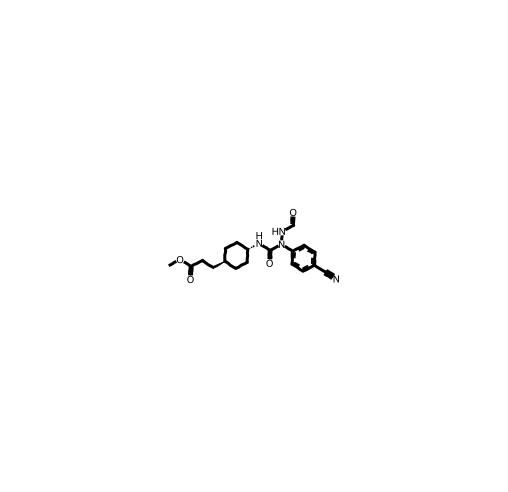 COC(=O)CC[C@H]1CC[C@H](NC(=O)N(NC=O)c2ccc(C#N)cc2)CC1